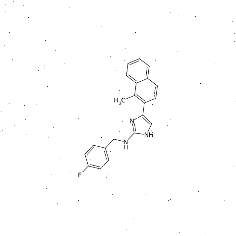 Cc1c(-c2c[nH]c(NCc3ccc(F)cc3)n2)ccc2ccccc12